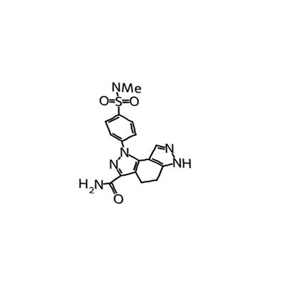 CNS(=O)(=O)c1ccc(-n2nc(C(N)=O)c3c2-c2cn[nH]c2CC3)cc1